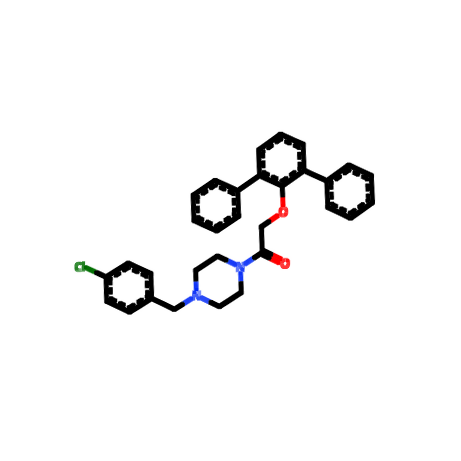 O=C(COc1c(-c2ccccc2)cccc1-c1ccccc1)N1CCN(Cc2ccc(Cl)cc2)CC1